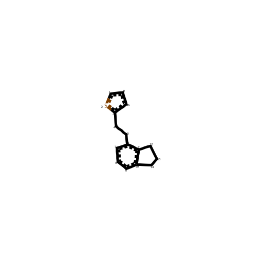 c1csc(CCc2cccc3c2CCC3)c1